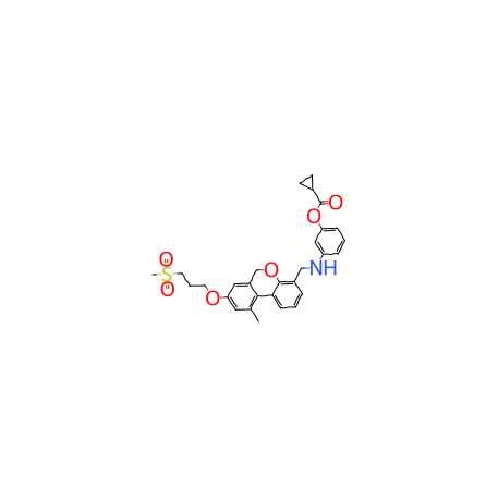 Cc1cc(OCCCS(C)(=O)=O)cc2c1-c1cccc(CNc3cccc(OC(=O)C4CC4)c3)c1OC2